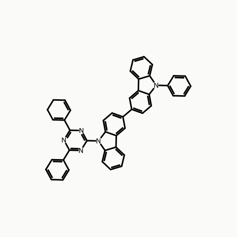 C1=CC(c2nc(-c3ccccc3)nc(-n3c4ccccc4c4cc(-c5ccc6c(c5)c5ccccc5n6-c5ccccc5)ccc43)n2)=CCC1